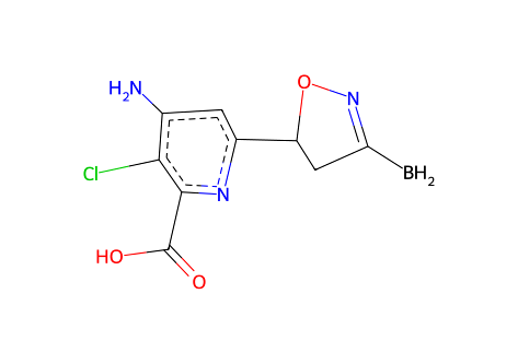 BC1=NOC(c2cc(N)c(Cl)c(C(=O)O)n2)C1